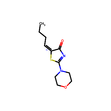 CCC/C=C1/SC(N2CCOCC2)=NC1=O